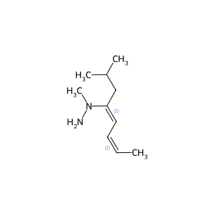 C/C=C\C=C(\CC(C)C)N(C)N